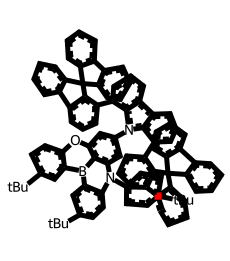 CC(C)(C)c1ccc(N2c3ccc(C(C)(C)C)cc3B3c4cc(C(C)(C)C)ccc4Oc4cc(-n5c6c(-c7cccc8c7C7(c9ccccc9-c9ccccc97)c7ccccc7-8)cccc6c6cccc(-c7cccc8c7C7(c9ccccc9-c9ccccc97)c7ccccc7-8)c65)cc2c43)cc1